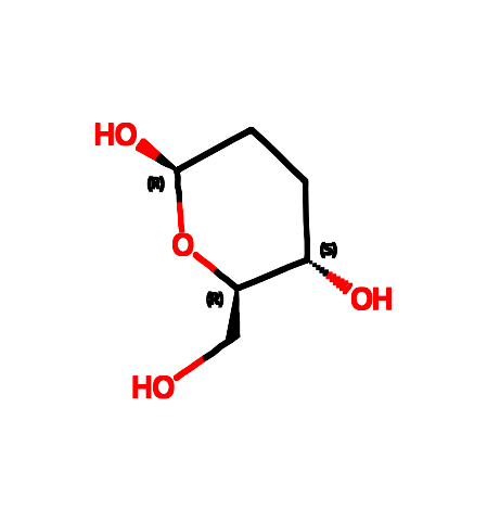 OC[C@H]1O[C@@H](O)CC[C@@H]1O